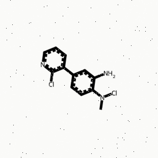 CN(Cl)c1ccc(-c2cccnc2Cl)cc1N